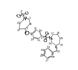 CS(=O)(=O)N1CCC(Oc2ccc(S(=O)(=O)N3CCCCC(Cc4ccccc4)C3)cc2)CC1